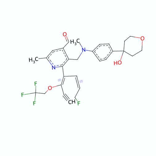 C#C/C(OCC(F)(F)F)=C(\C=C/CF)c1nc(C)cc(C=O)c1CN(C)c1ccc(C2(O)CCOCC2)cc1